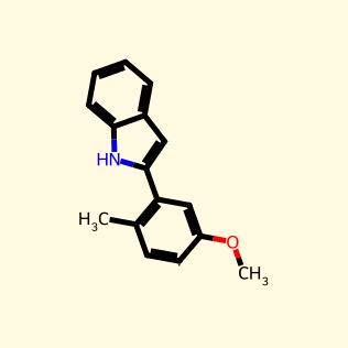 COc1[c]cc(C)c(-c2cc3ccccc3[nH]2)c1